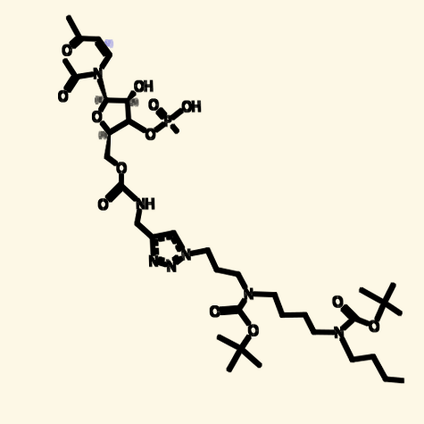 CCCCN(CCCCN(CCCn1cc(CNC(=O)OC[C@H]2O[C@@H](N(/C=C\C(C)=O)C(C)=O)[C@@H](O)C2OP(C)(=O)O)nn1)C(=O)OC(C)(C)C)C(=O)OC(C)(C)C